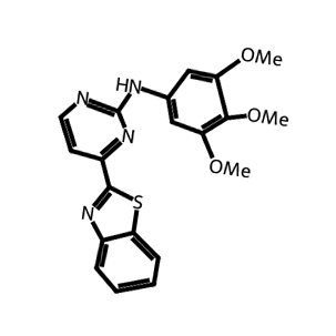 COc1cc(Nc2nccc(-c3nc4ccccc4s3)n2)cc(OC)c1OC